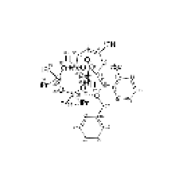 CO[C@@H]1OC2=C(C#N)C([Se]c3ccccc3)C1(NOCc1ccccc1)[C@@H]1O[Si](C(C)C)(C(C)C)O[Si](C(C)C)(C(C)C)O[C@H]1C2